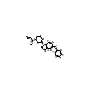 C=CC(=O)N1CCC[C@@H](n2ncc3cc(Sc4ccccc4)ccc32)C1